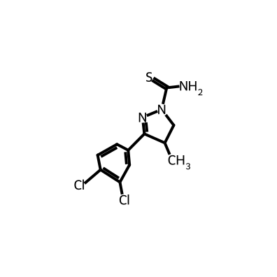 CC1CN(C(N)=S)N=C1c1ccc(Cl)c(Cl)c1